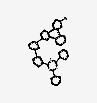 Brc1ccc2c3ccc(-c4cccc(-c5cccc(-c6nc(-c7ccccc7)nc(-c7ccccc7)n6)c5)c4)cc3c3ccccc3c2c1